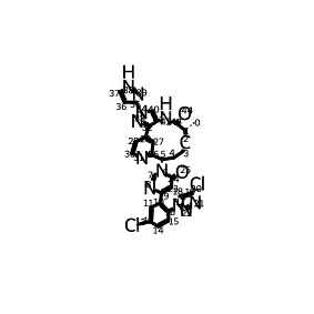 C[C@@H]1CCC[C@H](n2cnc(-c3cc(Cl)ccc3-n3cc(Cl)nn3)cc2=O)c2cc(ccn2)-c2nn(-c3cc[nH]n3)cc2NC1=O